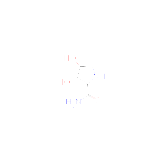 NC(=O)C1NC[C@H](O)[C@H]1O